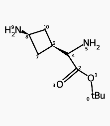 CC(C)(C)OC(=O)C(N)[C@H]1C[C@@H](N)C1